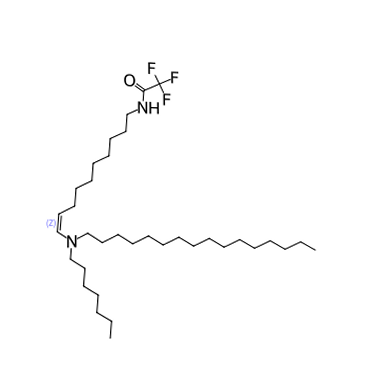 CCCCCCCCCCCCCCCCN(/C=C\CCCCCCCCNC(=O)C(F)(F)F)CCCCCCC